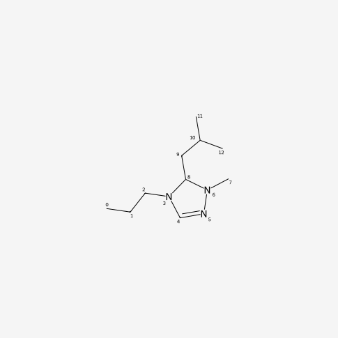 CCCN1C=NN(C)C1CC(C)C